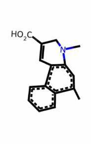 Cc1cc2c(c3ccccc13)C=C(C(=O)O)CN2C